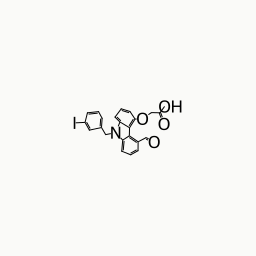 O=Cc1cccc2c1c1c(OCC(=O)O)cccc1n2Cc1cccc(I)c1